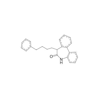 O=C1Nc2ccc[c]c2-c2ccccc2C1CCCCc1ccccc1